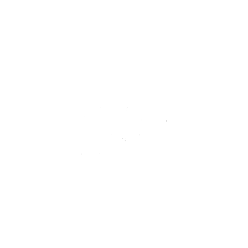 O=C(O)c1cnc(CCO)c(C(F)F)c1